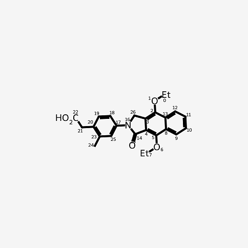 CCOc1c2c(c(OCC)c3ccccc13)C(=O)N(c1ccc(CC(=O)O)c(C)c1)C2